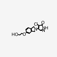 O=c1[nH]ncc(N2Cc3ccc(OCCO)cc3C2)c1Cl